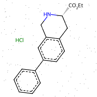 CCOC(=O)[C@@H]1Cc2ccc(-c3ccccc3)cc2CN1.Cl